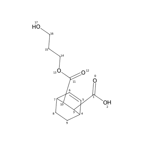 O=C(O)C1C2C=CC(CC2)C1C(=O)OCCCO